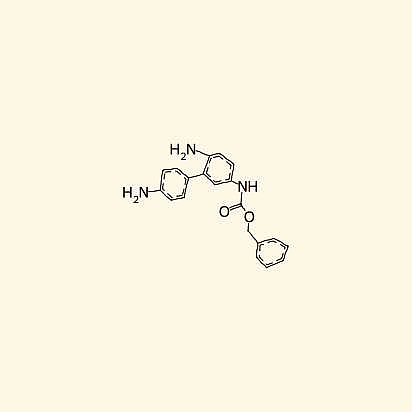 Nc1ccc(-c2cc(NC(=O)OCc3ccccc3)ccc2N)cc1